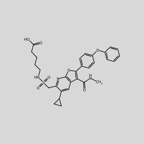 CNC(=O)c1c(-c2ccc(Oc3ccccc3)cc2)oc2nc(CS(=O)(=O)NCCCCC(=O)O)c(C3CC3)cc12